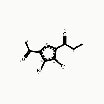 CCC(=O)c1sc(C(C)=O)c(Br)c1Br